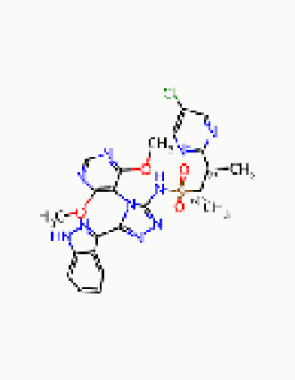 COc1ncnc(OC)c1-n1c(NS(=O)(=O)[C@@H](C)[C@H](C)c2ncc(Cl)cn2)nnc1-c1n[nH]c2ccccc12